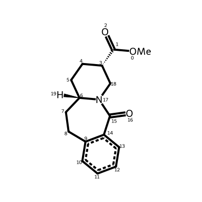 COC(=O)[C@H]1CC[C@H]2CCc3ccccc3C(=O)N2C1